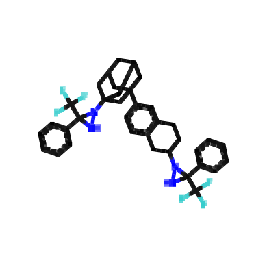 FC(F)(F)C1(c2ccccc2)NN1C1CCc2cc(C34CC5CC(C3)CC(N3NC3(c3ccccc3)C(F)(F)F)(C5)C4)ccc2C1